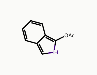 CC(=O)OC1=c2ccccc2=C[IH]1